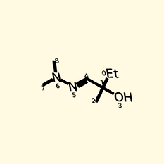 CCC(C)(O)C=NN(C)C